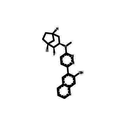 CN(c1ccc(-c2cc3cccnc3cc2O)nn1)[C@@H]1C[C@H]2CC[C@H](C2)[C@@H]1F